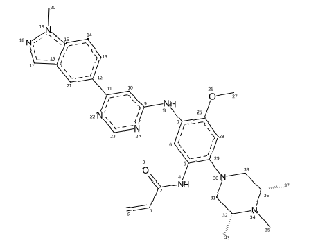 C=CC(=O)Nc1cc(Nc2cc(-c3ccc4c(cnn4C)c3)ncn2)c(OC)cc1N1C[C@@H](C)N(C)[C@@H](C)C1